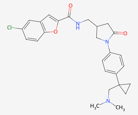 CN(C)CC1(c2ccc(N3CC(CNC(=O)c4cc5cc(Cl)ccc5o4)CC3=O)cc2)CC1